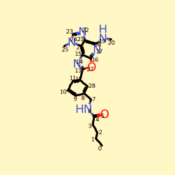 CCCCC(=O)NCc1cccc(-c2nc3c(nc(NC)c4ncn(C)c43)o2)c1